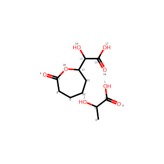 CC(O)C(=O)O.O=C1CCCCC(C(O)C(=O)O)O1